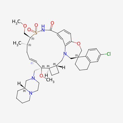 COC[C@@H]1[C@@H](C)C/C=C/[C@](CN2CCN3CCCC[C@@H]3C2)(OC)[C@@H]2CC[C@H]2CN2C[C@@]3(CCCc4cc(Cl)ccc43)COc3ccc(cc32)C(=O)NS1(=O)=O